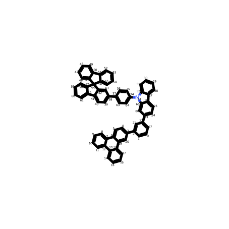 c1cc(-c2ccc3c4ccccc4c4ccccc4c3c2)cc(-c2ccc3c4ccccc4n(-c4ccc(-c5ccc6c(c5)C5(c7ccccc7-c7ccccc75)c5ccccc5-6)cc4)c3c2)c1